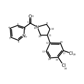 O=C(c1ccccn1)N1CCC(c2ccc(Cl)c(Cl)c2)C1